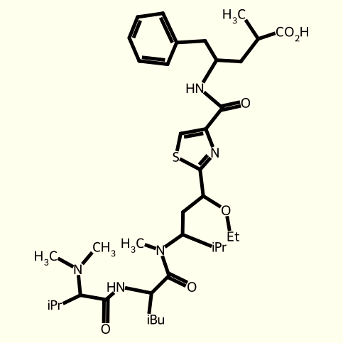 CCOC(CC(C(C)C)N(C)C(=O)C(NC(=O)C(C(C)C)N(C)C)C(C)CC)c1nc(C(=O)NC(Cc2ccccc2)CC(C)C(=O)O)cs1